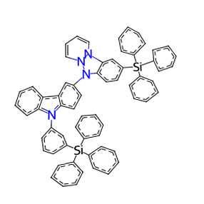 C1=CN2c3cc([Si](c4ccccc4)(c4ccccc4)c4ccccc4)ccc3N(c3ccc4c(c3)c3ccccc3n4-c3cccc([Si](c4ccccc4)(c4ccccc4)c4ccccc4)c3)N2C=C1